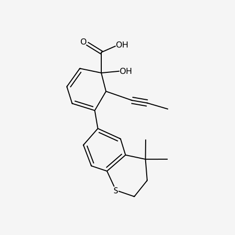 CC#CC1C(c2ccc3c(c2)C(C)(C)CCS3)=CC=CC1(O)C(=O)O